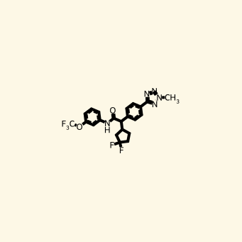 Cn1nnc(-c2ccc(C(C(=O)Nc3cccc(OC(F)(F)F)c3)C3CCC(F)(F)C3)cc2)n1